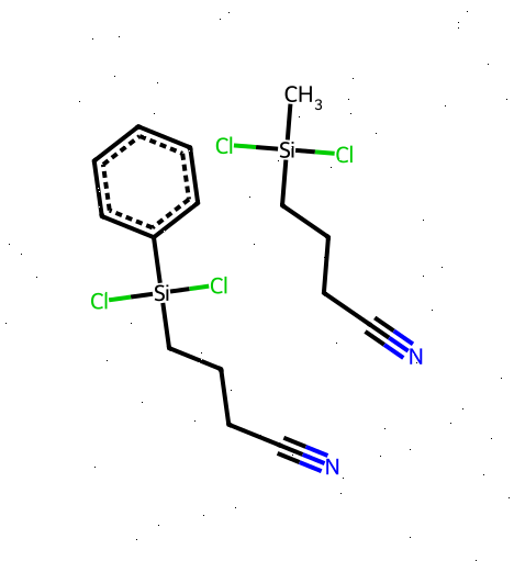 C[Si](Cl)(Cl)CCCC#N.N#CCCC[Si](Cl)(Cl)c1ccccc1